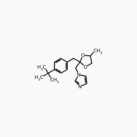 CC1COC(Cc2ccc(C(C)(C)C)cc2)(Cn2ccnc2)O1